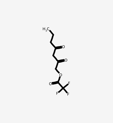 CCCC(=O)CC(=O)COC(=O)C(F)(F)F